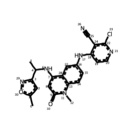 Cc1cc(C(C)Nc2cc(=O)n(C)c3ccc(Nc4ccnc(Cl)c4C#N)cc23)no1